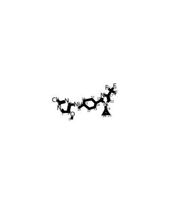 COc1cnc(Cl)nc1NCC1CCC(c2nc(C(F)(F)F)cn2C2CC2)CC1